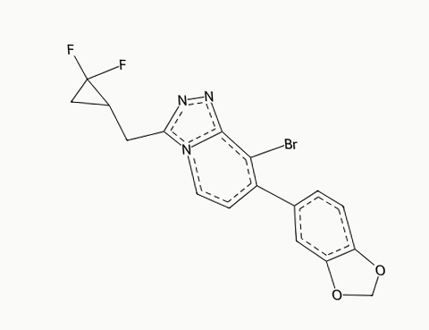 FC1(F)CC1Cc1nnc2c(Br)c(-c3ccc4c(c3)OCO4)ccn12